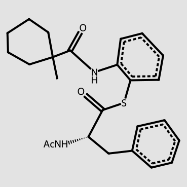 CC(=O)N[C@@H](Cc1ccccc1)C(=O)Sc1ccccc1NC(=O)C1(C)CCCCC1